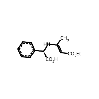 CCOC(=O)C=C(C)N[C@@H](C(=O)O)c1ccccc1